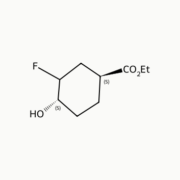 CCOC(=O)[C@H]1CC[C@H](O)C(F)C1